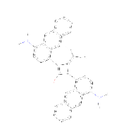 CCN(CC)c1ccc(C2=C(O)C(c3ccc(N(CC)CC)c4cc5ccccc5cc34)C2=C(C#N)C#N)c2cc3ccccc3cc12